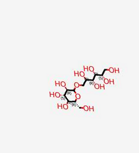 OC[C@H](O)[C@@H](O)[C@H](O)[C@H](O)COC1O[C@H](CO)[C@@H](O)[C@H](O)[C@H]1O